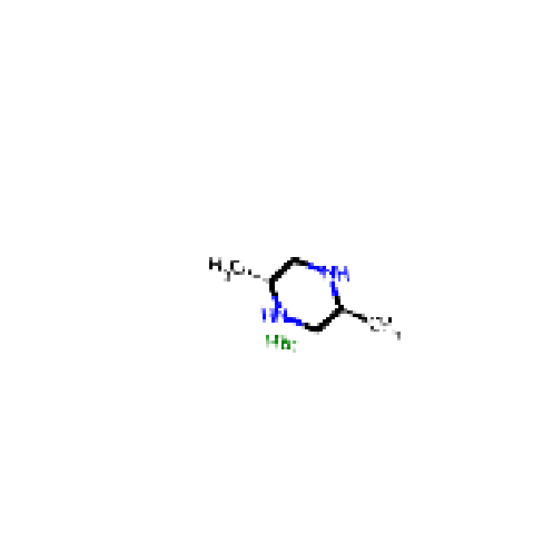 Br.C[C@@H]1CN[C@@H](C)CN1